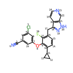 N#Cc1cc(Cl)cc(Oc2c(C3CC3)ccc(Cc3n[nH]c4cnccc34)c2F)c1